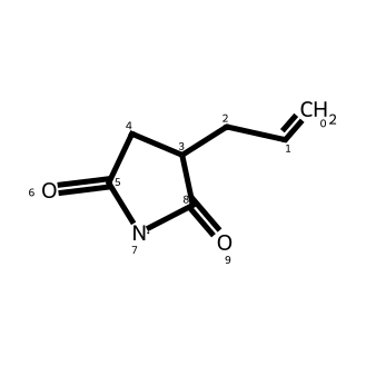 C=CCC1CC(=O)[N]C1=O